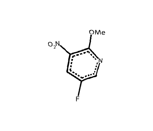 COc1ncc(F)cc1[N+](=O)[O-]